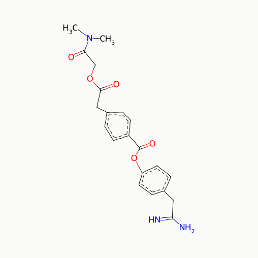 CN(C)C(=O)COC(=O)Cc1ccc(C(=O)Oc2ccc(CC(=N)N)cc2)cc1